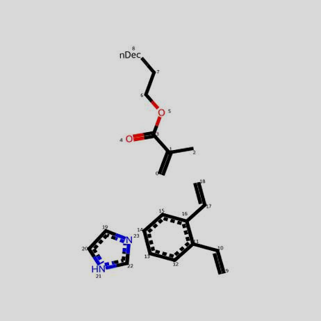 C=C(C)C(=O)OCCCCCCCCCCCC.C=Cc1ccccc1C=C.c1c[nH]cn1